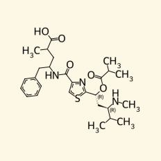 CN[C@H](C[C@@H](OC(=O)C(C)C)c1nc(C(=O)NC(Cc2ccccc2)CC(C)C(=O)O)cs1)C(C)C